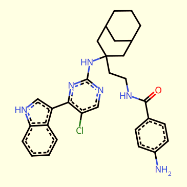 Nc1ccc(C(=O)NCCC2(Nc3ncc(Cl)c(-c4c[nH]c5ccccc45)n3)CC3CCCC(C3)C2)cc1